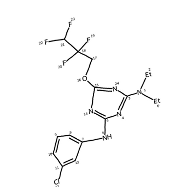 CCN(CC)c1nc(Nc2cccc(Cl)c2)nc(OCC(F)(F)C(F)F)n1